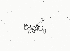 O=C1N(Cc2nc3cc(Cl)ccc3n2CC2COC2)c2cnccc2C12CC2